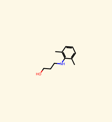 Cc1cccc(C)c1NCCCO